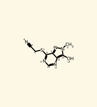 Cn1nc2c(SCC#N)ncnc2c1O